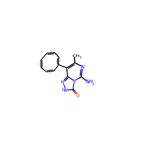 Cc1nc(N)n2c(=O)[nH]nc2c1C1=C/C=C\C=C/C=C\1